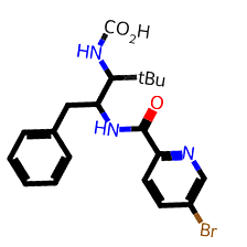 CC(C)(C)C(NC(=O)O)C(Cc1ccccc1)NC(=O)c1ccc(Br)cn1